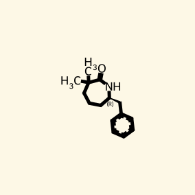 CC1(C)CCC[C@H](Cc2ccccc2)NC1=O